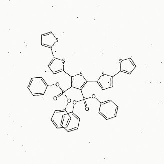 O=P(Oc1ccccc1)(Oc1ccccc1)c1c(-c2ccc(-c3cccs3)s2)sc(-c2ccc(-c3cccs3)s2)c1P(=O)(Oc1ccccc1)Oc1ccccc1